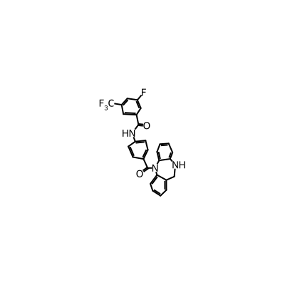 O=C(Nc1ccc(C(=O)N2c3ccccc3CNc3ccccc32)cc1)c1cc(F)cc(C(F)(F)F)c1